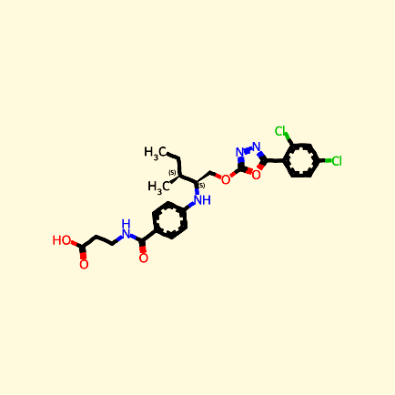 CC[C@H](C)[C@@H](COc1nnc(-c2ccc(Cl)cc2Cl)o1)Nc1ccc(C(=O)NCCC(=O)O)cc1